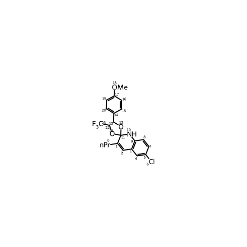 CCCC1=Cc2cc(Cl)ccc2NC1(OCc1ccc(OC)cc1)OCC(F)(F)F